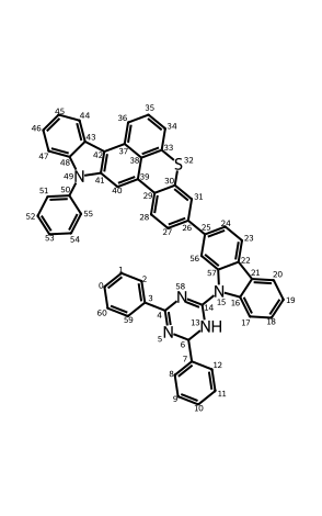 c1ccc(C2=NC(c3ccccc3)NC(n3c4ccccc4c4ccc(-c5ccc6c(c5)Sc5cccc7c5c-6cc5c7c6ccccc6n5-c5ccccc5)cc43)=N2)cc1